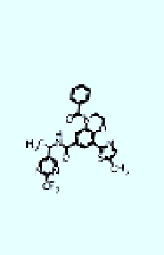 Cc1cnc(-c2cc(C(=O)N[C@H](C)c3cnc(C(F)(F)F)nc3)cc3c2OCCN3C(=O)c2ccccc2)s1